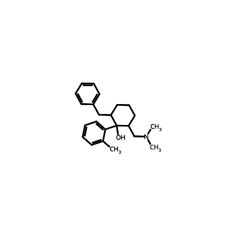 Cc1ccccc1C1(O)C(Cc2ccccc2)CCCC1CN(C)C